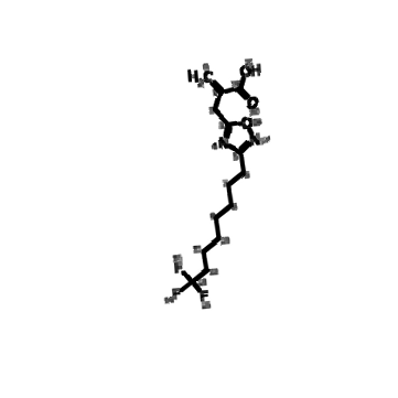 C=C(Cc1nc(CCCCCCCC(F)(F)F)no1)C(=O)O